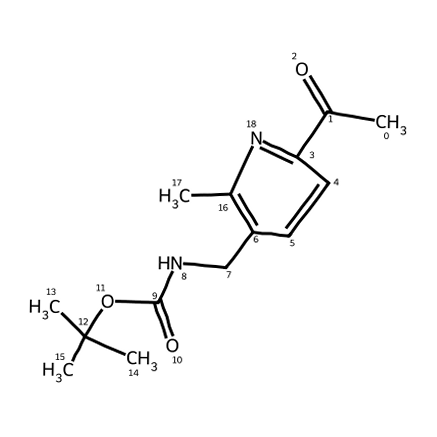 CC(=O)c1ccc(CNC(=O)OC(C)(C)C)c(C)n1